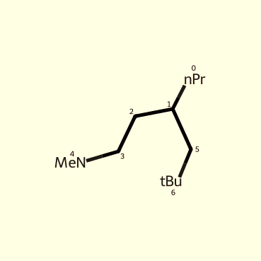 CCCC(CCNC)CC(C)(C)C